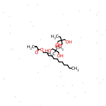 C=CC(=O)OCCCCCCCCCCCC.CC(C)(CO)CO.CCC(CO)(CO)CO